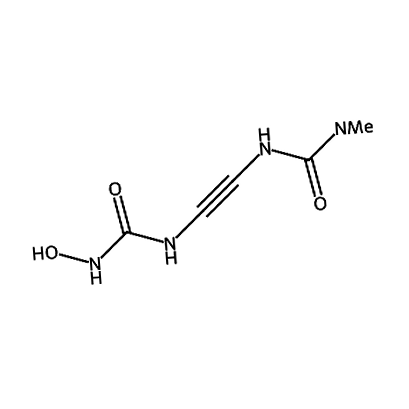 CNC(=O)NC#CNC(=O)NO